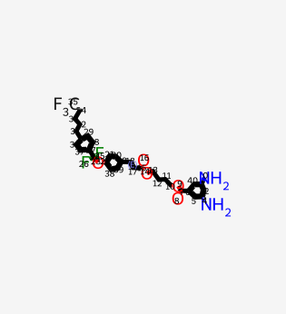 Nc1cc(N)cc(C(=O)OCCCCOC(=O)/C=C/c2ccc(OC(F)(F)c3ccc(CCCCC(F)(F)F)cc3)cc2)c1